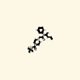 CCCC(C)N(C(=O)CN1CCN(C(=O)OC(C)(C)C)CC1)c1ccccc1